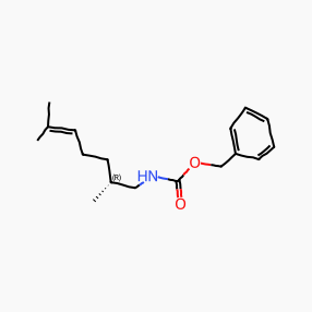 CC(C)=CCC[C@@H](C)CNC(=O)OCc1ccccc1